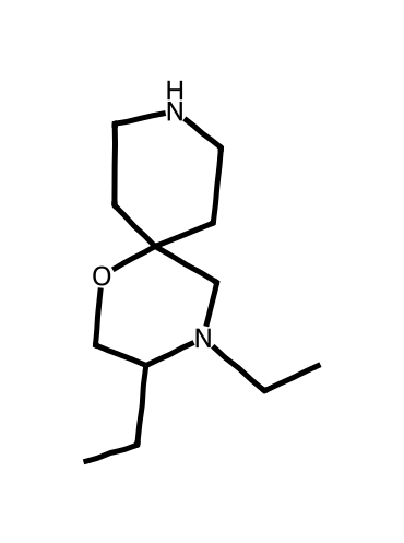 CCC1COC2(CCNCC2)CN1CC